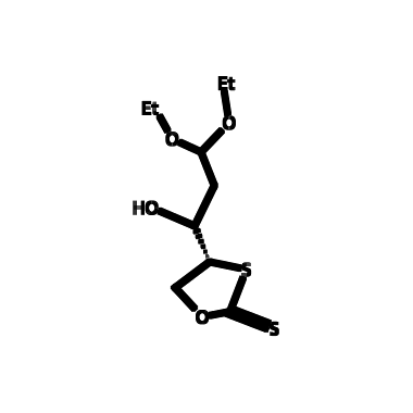 CCOC(CC(O)[C@H]1COC(=S)S1)OCC